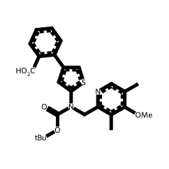 COc1c(C)cnc(CN(C(=O)OC(C)(C)C)c2cc(-c3ccccc3C(=O)O)cs2)c1C